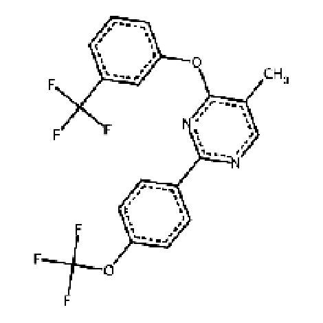 Cc1cnc(-c2ccc(OC(F)(F)F)cc2)nc1Oc1cccc(C(F)(F)F)c1